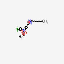 CCCCCCCCCCCc1noc(CCc2ccc(CN(Cc3ccc(C(F)(F)F)cc3)C(=O)C(=O)OCC)cc2)n1